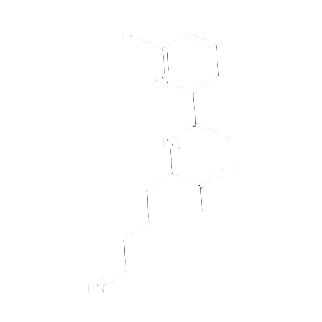 Cc1cccc(C(=O)NC(CCCCN)C(=O)O)n1